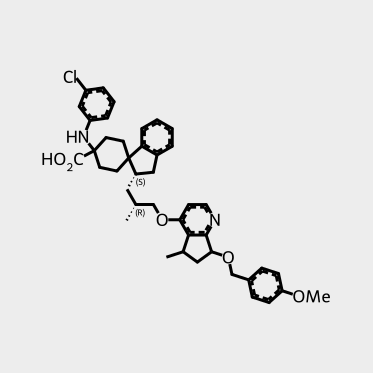 COc1ccc(COC2CC(C)c3c(OC[C@H](C)C[C@H]4Cc5ccccc5C45CCC(Nc4cccc(Cl)c4)(C(=O)O)CC5)ccnc32)cc1